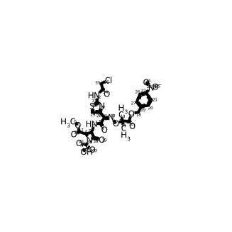 COC(=O)C1C(NC(=O)C(=NOC(C)(C)C(=O)OCc2ccc([N+](=O)[O-])cc2)c2csc(NC(=O)CCl)n2)C(=O)N1S(=O)(=O)O